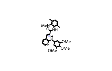 CNc1c(C)ccc(C)c1NC(=O)/C=C/c1cccnc1Nc1cc(OC)c(OC)c(OC)c1